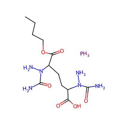 CCCCOC(=O)C(CCC(C(=O)O)N(N)C(N)=O)N(N)C(N)=O.P